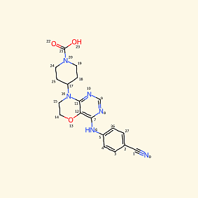 N#Cc1ccc(Nc2ncnc3c2OCCN3C2CCN(C(=O)O)CC2)cc1